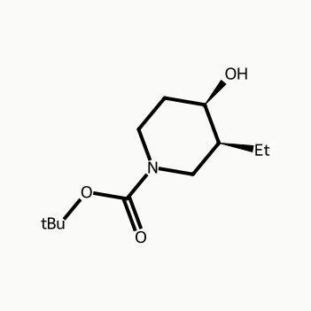 CC[C@H]1CN(C(=O)OC(C)(C)C)CC[C@H]1O